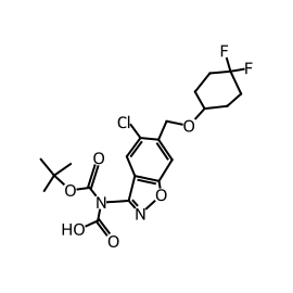 CC(C)(C)OC(=O)N(C(=O)O)c1noc2cc(COC3CCC(F)(F)CC3)c(Cl)cc12